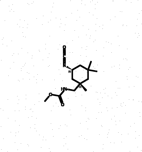 COC(=O)NC[C@]1(C)C[C@H](N=C=O)CC(C)(C)C1